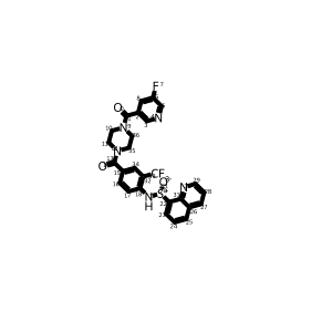 O=C(c1cncc(F)c1)N1CCN(C(=O)c2ccc(N[S+]([O-])c3cccc4cccnc34)c(C(F)(F)F)c2)CC1